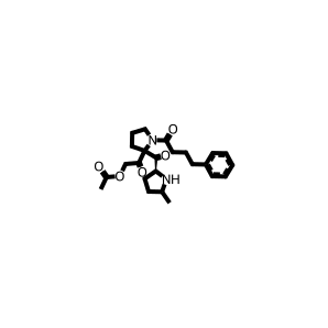 CC(=O)OCC(=O)C1(C(=O)[C@@H]2CCC(C)N2)CCCN1C(=O)CCCc1ccccc1